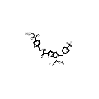 CCS(=O)(=O)c1ccc(CNC(=O)c2cc3c(o2)[C@@H](C(C)C)N(C[C@H]2CC[C@H](C(F)(F)F)CC2)C3)nc1